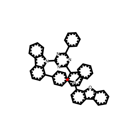 c1ccc(-c2nc(-c3ccccc3)nc(-n3c4ccccc4c4cccc(-c5ccc(N(c6ccccc6)c6cccc7c6oc6ccccc67)cc5)c43)n2)cc1